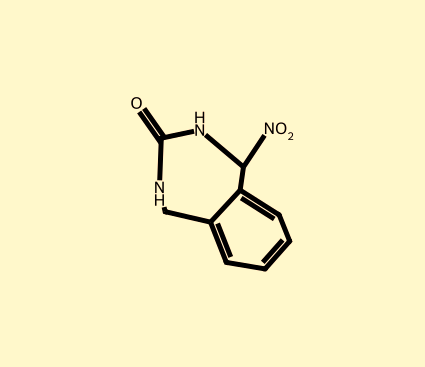 O=C1NCc2ccccc2C([N+](=O)[O-])N1